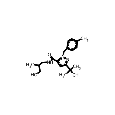 Cc1ccc(Cn2nc(C(C)(C)C)cc2C(=O)NCC(C)CO)cc1